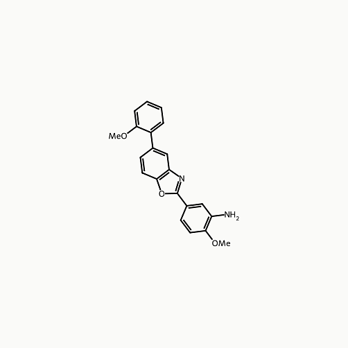 COc1ccc(-c2nc3cc(-c4ccccc4OC)ccc3o2)cc1N